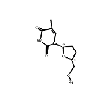 [2H]OC[C@@H]1CC[C@H](n2cc(C)c(=O)[nH]c2=O)O1